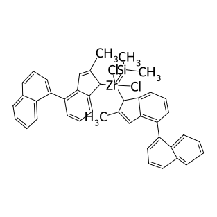 CC1=Cc2c(-c3cccc4ccccc34)cccc2[CH]1[Zr]([Cl])([Cl])([CH]1C(C)=Cc2c(-c3cccc4ccccc34)cccc21)=[Si](C)C